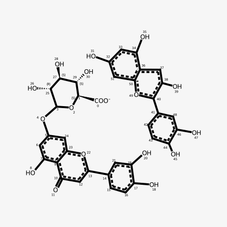 O=C([O-])[C@H]1OC(Oc2cc(O)c3c(=O)cc(-c4ccc(O)c(O)c4)oc3c2)[C@H](O)[C@@H](O)[C@@H]1O.Oc1cc(O)c2cc(O)c(-c3ccc(O)c(O)c3)[o+]c2c1